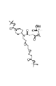 C[C@@H](C(=O)O)N(C)C(=O)CCC(=O)N(CCOCCOCCC(=O)OC(C)(C)C)C1CCN(C(=O)OC(C)(C)C)CC1